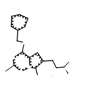 C[C@H](F)[C@H](N)Cc1cc2c(NCc3ccccc3)nc(Cl)nn2c1Cl